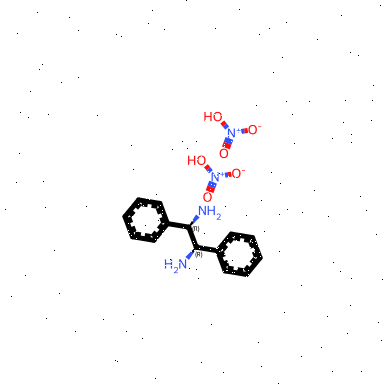 N[C@H](c1ccccc1)[C@H](N)c1ccccc1.O=[N+]([O-])O.O=[N+]([O-])O